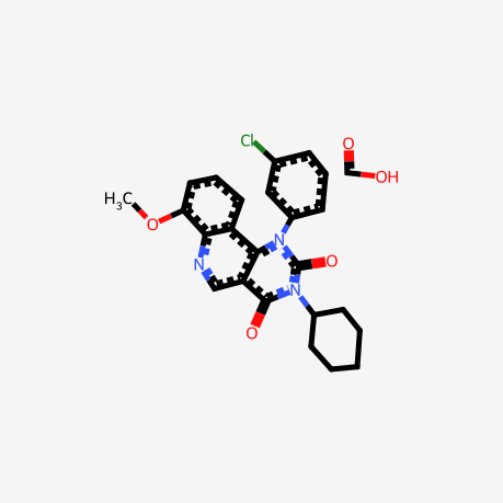 COc1cccc2c1ncc1c(=O)n(C3CCCCC3)c(=O)n(-c3cccc(Cl)c3)c12.O=CO